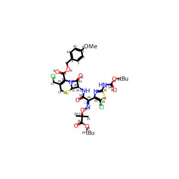 COc1ccc(COC(=O)C2=C(CCl)CSC3[C@H](NC(=O)/C(=N\OC(C)(C)C(=O)OC(C)(C)C)c4nc(NC(=O)OC(C)(C)C)sc4Cl)C(=O)N23)cc1